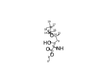 CCOC(=O)C(=N)C(O)C[C@H](C)O[Si](C)(C)C(C)(C)C